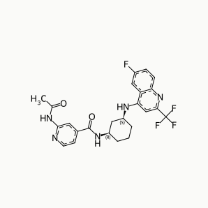 CC(=O)Nc1cc(C(=O)N[C@@H]2CCC[C@H](Nc3cc(C(F)(F)F)nc4ccc(F)cc34)C2)ccn1